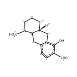 O=Cc1ccc2c(c1O)C[C@H]1OCCN(C(=O)O)C1C2